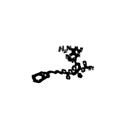 C#C[C@]1(COC(=O)OCCCCC2CC3CCCC(C2)C3)O[C@@H](n2cnc3c(N)nc(F)nc32)C[C@@H]1OC(=O)C(C)C